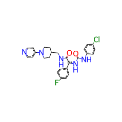 O=C(Nc1ccc(Cl)cc1)N[C@H](C(=O)NCC1CCN(c2ccncc2)CC1)c1ccc(F)cc1